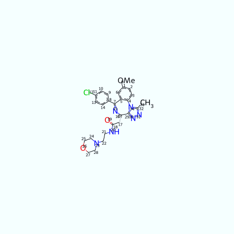 COc1ccc2c(c1)C(c1ccc(Cl)cc1)=N[C@@H](CC(=O)NCCN1CCOCC1)c1nnc(C)n1-2